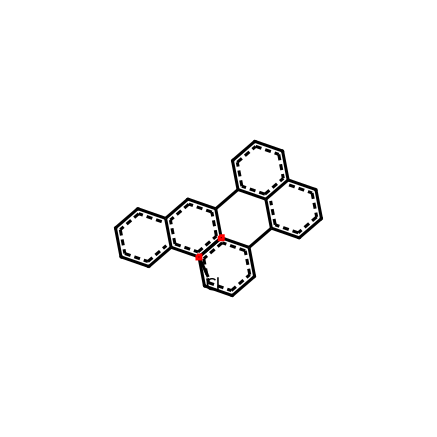 Clc1cc(-c2cccc3cccc(-c4ccccc4)c23)cc2ccccc12